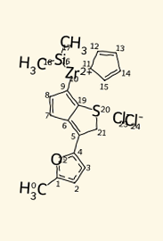 Cc1ccc(C2=C3C=C[C]([Zr+2]([CH]4C=CC=C4)=[Si](C)C)=C3SC2)o1.[Cl-].[Cl-]